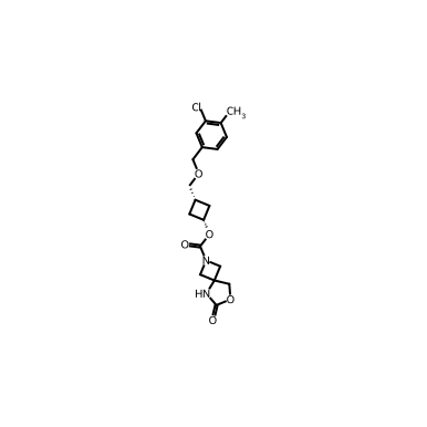 Cc1ccc(COC[C@H]2C[C@@H](OC(=O)N3CC4(COC(=O)N4)C3)C2)cc1Cl